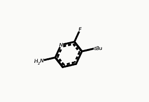 CC(C)(C)c1ccc(N)nc1F